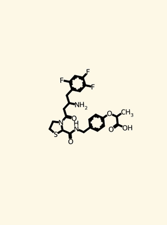 CC(Oc1ccc(CNC(=O)C2SCCN2C(=O)CC(N)Cc2cc(F)c(F)cc2F)cc1)C(=O)O